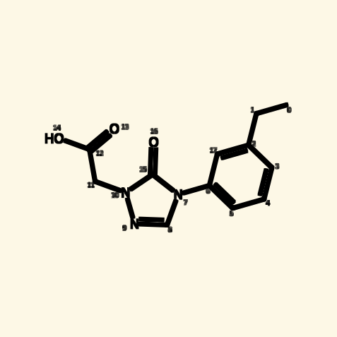 CCc1cccc(-n2cnn(CC(=O)O)c2=O)c1